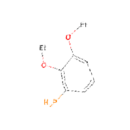 CCOc1cccc(P)c1OCC